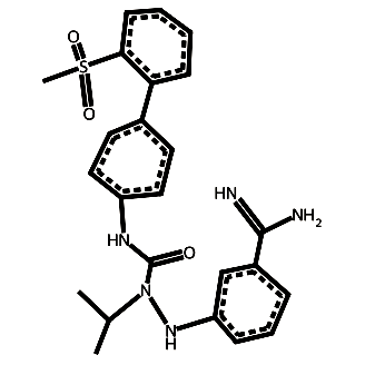 CC(C)N(Nc1cccc(C(=N)N)c1)C(=O)Nc1ccc(-c2ccccc2S(C)(=O)=O)cc1